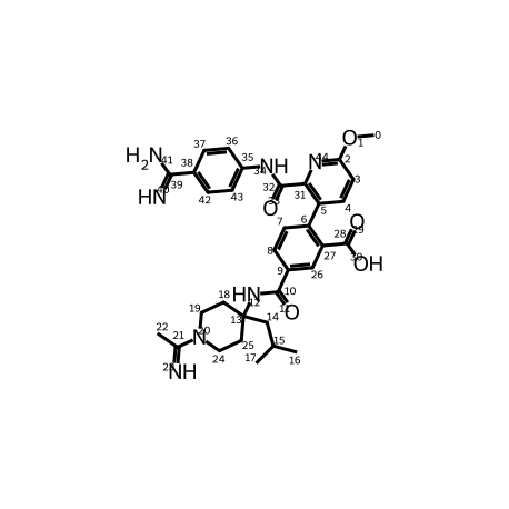 COc1ccc(-c2ccc(C(=O)NC3(CC(C)C)CCN(C(C)=N)CC3)cc2C(=O)O)c(C(=O)Nc2ccc(C(=N)N)cc2)n1